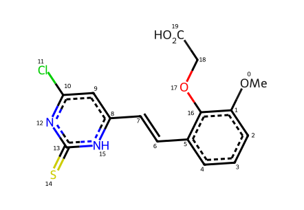 COc1cccc(C=Cc2cc(Cl)nc(=S)[nH]2)c1OCC(=O)O